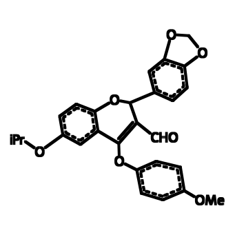 COc1ccc(OC2=C(C=O)C(c3ccc4c(c3)OCO4)Oc3ccc(OC(C)C)cc32)cc1